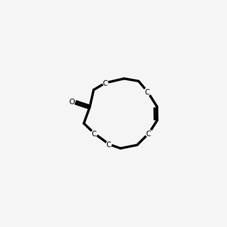 O=C1CCCCCC=CCCCCCC1